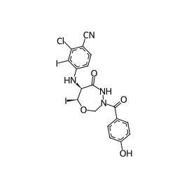 N#Cc1ccc(N[C@H]2C(=O)NN(C(=O)c3ccc(O)cc3)CO[C@H]2I)c(I)c1Cl